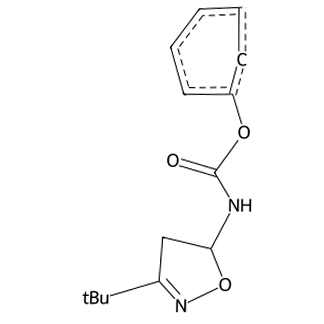 CC(C)(C)C1=NOC(NC(=O)Oc2ccccc2)C1